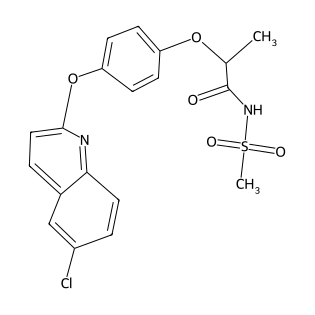 CC(Oc1ccc(Oc2ccc3cc(Cl)ccc3n2)cc1)C(=O)NS(C)(=O)=O